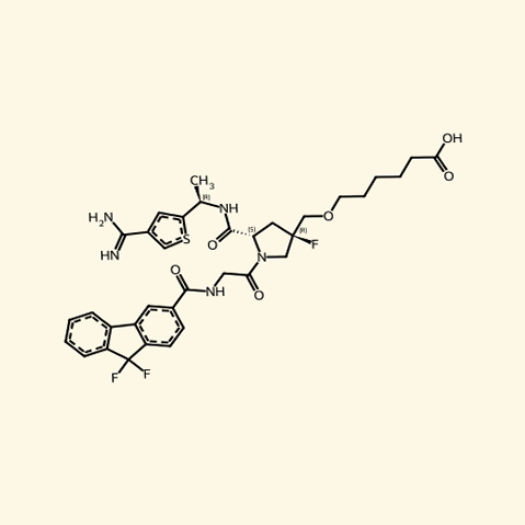 C[C@@H](NC(=O)[C@@H]1C[C@](F)(COCCCCCC(=O)O)CN1C(=O)CNC(=O)c1ccc2c(c1)-c1ccccc1C2(F)F)c1cc(C(=N)N)cs1